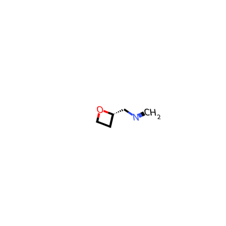 C=NC[C@@H]1CCO1